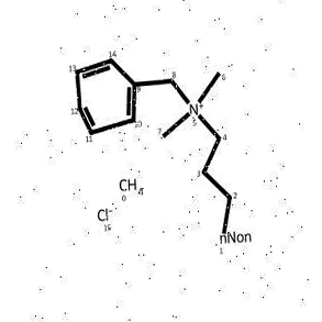 C.CCCCCCCCCCCC[N+](C)(C)Cc1ccccc1.[Cl-]